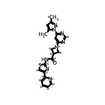 Cc1cc(C)n(-c2cc(N3CC(C(=O)Nc4nc(-c5ccccn5)cs4)C3)ncn2)n1